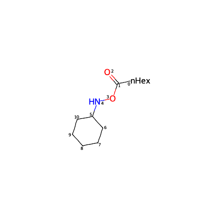 CCCCCCC(=O)ONC1CCCCC1